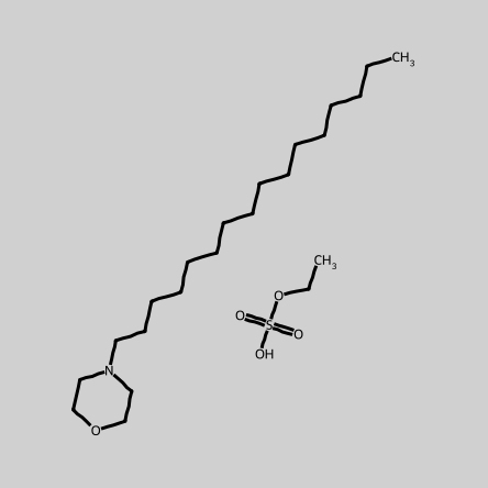 CCCCCCCCCCCCCCCCN1CCOCC1.CCOS(=O)(=O)O